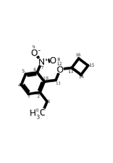 CCc1cccc([N+](=O)[O-])c1COC1CCC1